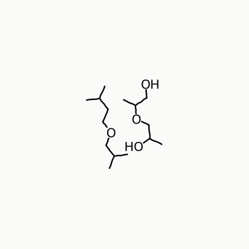 CC(C)CCOCC(C)C.CC(O)COC(C)CO